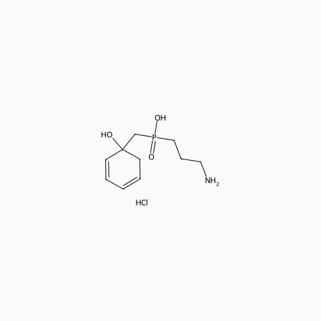 Cl.NCCCP(=O)(O)CC1(O)C=CC=CC1